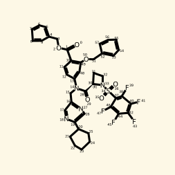 O=C(OCc1ccccc1)c1ccc(N(Cc2cnc(C3CCCCC3)cn2)C(=O)[C@H]2CCN2S(=O)(=O)c2c(F)c(F)c(F)c(F)c2F)cc1OCc1ccccc1